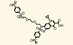 O=C(O)c1cn(C2CC2)c2cc(N(CCOCCOCNS(=O)(=O)c3ccc([N+](=O)[O-])cc3)S(=O)(=O)c3ccc([N+](=O)[O-])cc3)c(F)cc2c1=O